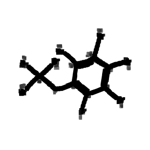 Brc1c(Br)c(Br)c(CC(Br)(Br)Br)c(Br)c1Br